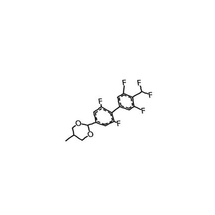 CC1COC(c2cc(F)c(-c3cc(F)c(C(F)F)c(F)c3)c(F)c2)OC1